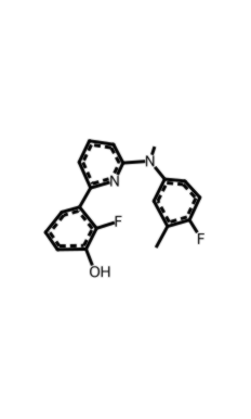 Cc1cc(N(C)c2cccc(-c3cccc(O)c3F)n2)ccc1F